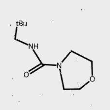 CC(C)(C)CNC(=O)N1CCOCC1